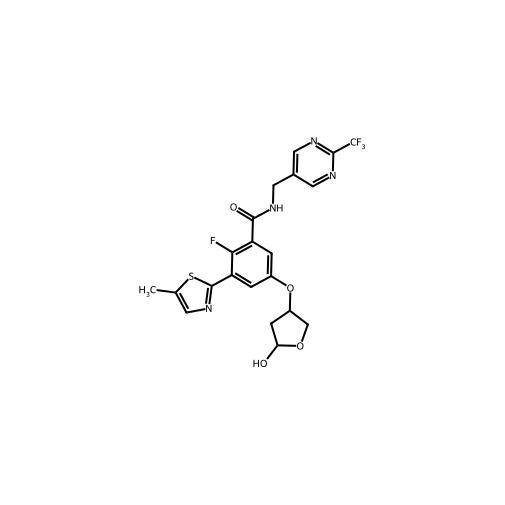 Cc1cnc(-c2cc(OC3COC(O)C3)cc(C(=O)NCc3cnc(C(F)(F)F)nc3)c2F)s1